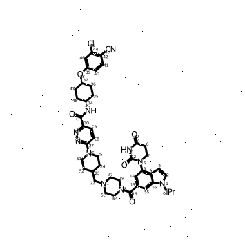 CC(C)n1ccc2c(N3CCC(=O)NC3=O)cc(C(=O)N3CCN(CC4CCN(c5ccc(C(=O)N[C@H]6CC[C@H](Oc7ccc(C#N)c(Cl)c7)CC6)nn5)CC4)CC3)cc21